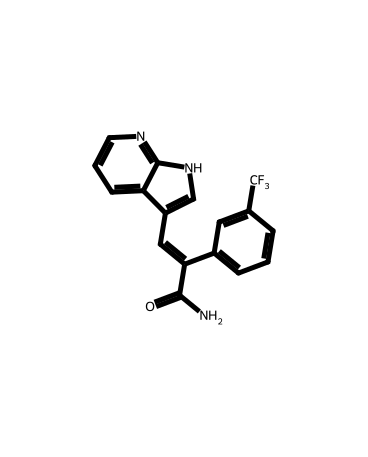 NC(=O)C(=Cc1c[nH]c2ncccc12)c1cccc(C(F)(F)F)c1